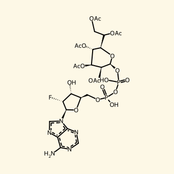 CC(=O)OCC(OC(C)=O)[C@H]1O[C@@H](OP(=O)(O)OP(=O)(O)OC[C@H]2O[C@@H](n3cnc4c(N)ncnc43)[C@H](F)[C@@H]2O)[C@@H](OC(C)=O)[C@@H](OC(C)=O)[C@@H]1OC(C)=O